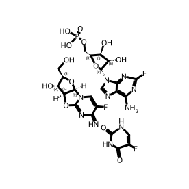 N=c1nc2n(cc1F)[C@@H]1O[C@H](CO)[C@@H](O)[C@@H]1O2.Nc1nc(F)nc2c1ncn2[C@@H]1O[C@H](COP(=O)(O)O)[C@@H](O)[C@@H]1O.O=c1[nH]cc(F)c(=O)[nH]1